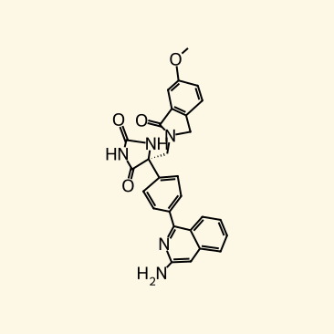 COc1ccc2c(c1)C(=O)N(C[C@@]1(c3ccc(-c4nc(N)cc5ccccc45)cc3)NC(=O)NC1=O)C2